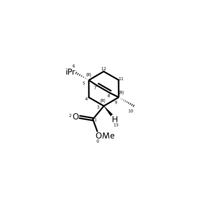 COC(=O)[C@@H]1C[C@]2(C(C)C)C=C[C@@]1(C)CC2